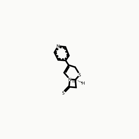 S=C1C[C@@H]2SCC(c3ccncc3)=CN12